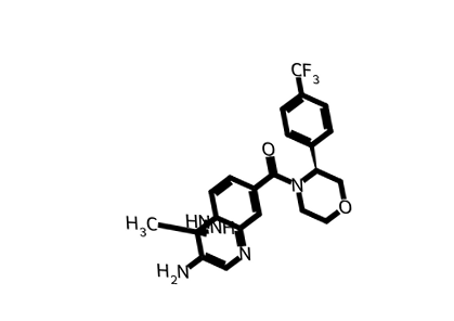 CC1=C2C(N)=CN=C3C=C(C(=O)N4CCOC[C@@H]4c4ccc(C(F)(F)F)cc4)C=CC32NN1